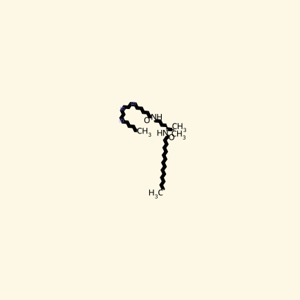 CCCCC/C=C\C/C=C\C/C=C\CCCCC(=O)NCCCC[C@H](NC(=O)CCCCCCCCCCCCCCC)C(C)C